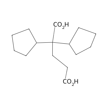 O=C(O)CCC(C(=O)O)(C1CCCC1)C1CCCC1